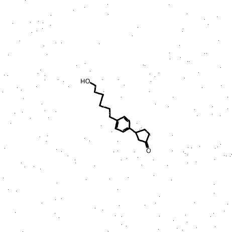 O=C1CCC(c2ccc(CCCCCCO)cc2)C1